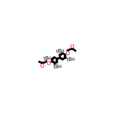 CC1OC1COc1c(C(C)(C)C)cc(-c2cc(C(C)(C)C)c(OCC3OC3C)c(C(C)(C)C)c2)cc1C(C)(C)C